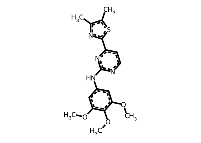 COc1cc(Nc2nccc(-c3nc(C)c(C)s3)n2)cc(OC)c1OC